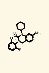 C=C1N(c2c(C)cccc2F)Cc2cnc(N)cc2N1C1CCCCC1